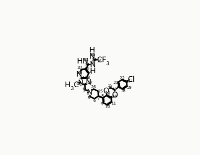 Cn1c(CN2CCC(c3cccc4c3OC[C@@H](c3ccc(Cl)cc3)O4)CC2)nc2cc(C(=N)NC(=N)C(F)(F)F)cnc21